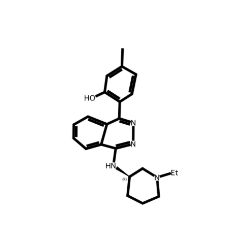 CCN1CCC[C@@H](Nc2nnc(-c3ccc(C)cc3O)c3ccccc23)C1